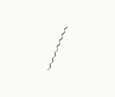 C=C/C=C/C=C/C=C/C/C=C/C=C/C=C/C